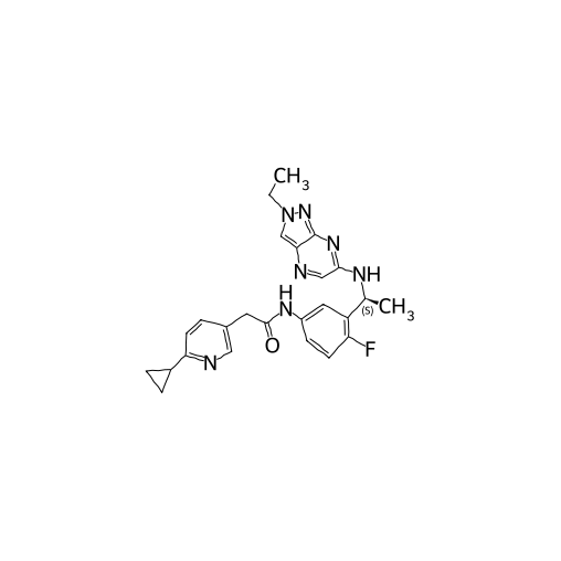 CCn1cc2ncc(N[C@@H](C)c3cc(NC(=O)Cc4ccc(C5CC5)nc4)ccc3F)nc2n1